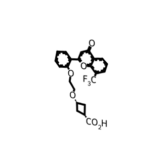 O=c1cc(-c2ccccc2OCCO[C@H]2C[C@H](C(=O)O)C2)oc2c(C(F)(F)F)cccc12